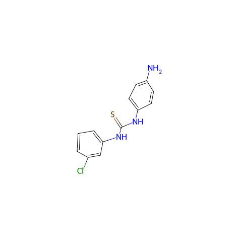 Nc1ccc(NC(=S)Nc2cccc(Cl)c2)cc1